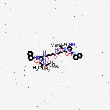 C=C(C)[C@H](NC(=O)[C@H](C)NC)C(=O)N1C[C@@H](NC(=O)CCCC(=O)NCCC[C@H](NC(=O)[C@H](C)NC)C(=O)N2C[C@@H](N)C[C@H]2C(=O)N[C@@H]2CCCc3ccccc32)C[C@H]1C(=O)N[C@@H]1CCCc2ccccc21